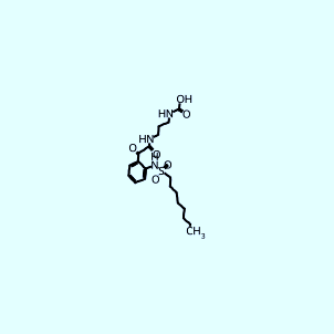 CCCCCCCCS(=O)(=O)Nc1ccccc1C(=O)C(=O)NCCCNC(=O)O